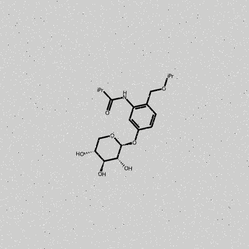 CC(C)OCc1ccc(O[C@@H]2OC[C@@H](O)[C@H](O)[C@H]2O)cc1NC(=O)C(C)C